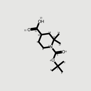 CC(C)(C)OC(=O)N1CCC(C(=O)O)CC1(C)C